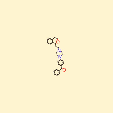 O=C(c1ccccc1)c1ccc(N2CCN(CCC3OCCc4ccccc43)CC2)cc1